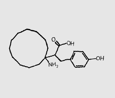 NC1(C(Cc2ccc(O)cc2)C(=O)O)CCCCCCCCCCC1